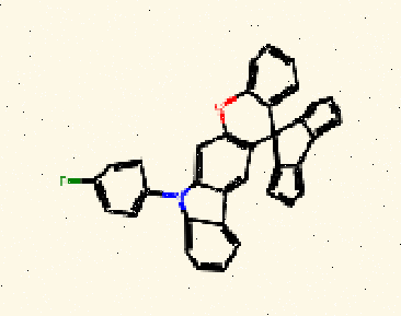 Fc1ccc(-n2c3ccccc3c3cc4c(cc32)Oc2ccccc2C42c3ccccc3-c3ccccc32)cc1